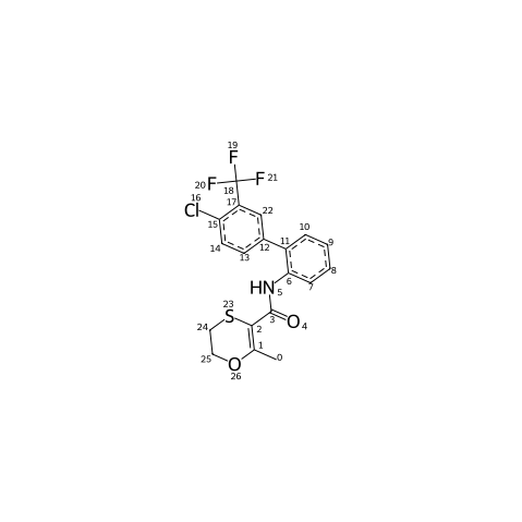 CC1=C(C(=O)Nc2ccccc2-c2ccc(Cl)c(C(F)(F)F)c2)SCCO1